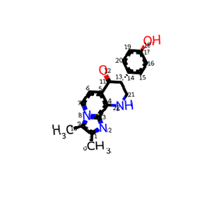 Cc1nc2c3c(ccn2c1C)C(=O)[C@H](c1ccc(O)cc1)CN3